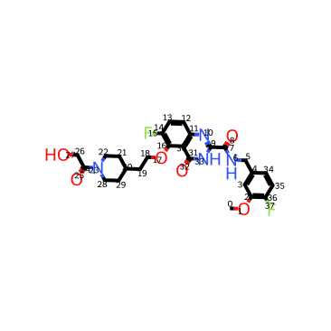 COc1cc(CNC(=O)c2nc3ccc(F)c(OCCC4CCN(C(=O)CO)CC4)c3c(=O)[nH]2)ccc1F